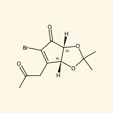 CC(=O)CC1=C(Br)C(=O)[C@@H]2OC(C)(C)O[C@H]12